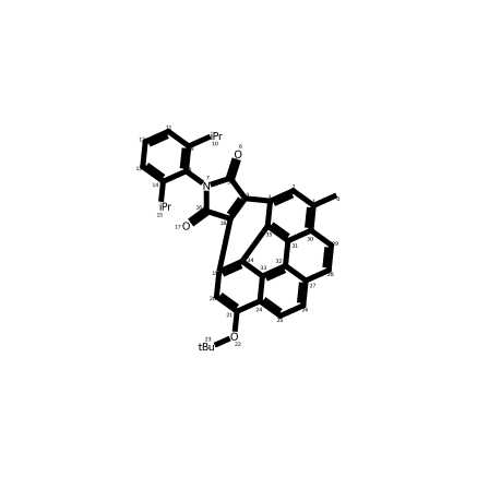 Cc1cc2c3c(=O)n(-c4c(C(C)C)cccc4C(C)C)c(=O)c3c3cc(OC(C)(C)C)c4ccc5ccc1c1c5c4c3c21